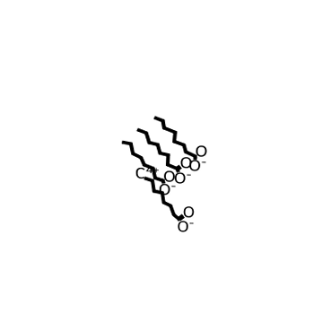 CCCCCCCC(=O)[O-].CCCCCCCC(=O)[O-].CCCCCCCC(=O)[O-].CCCCCCCC(=O)[O-].[C+4]